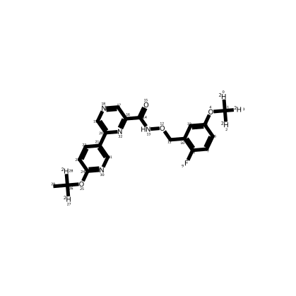 [2H]C([2H])([2H])Oc1ccc(F)c(CONC(=O)c2cncc(-c3ccc(OC([2H])([2H])C)nc3)n2)c1